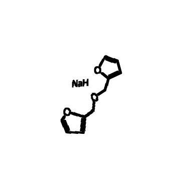 [NaH].c1coc(COCc2ccco2)c1